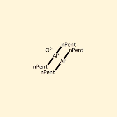 CCCC[CH2][Al+][CH2]CCCC.CCCC[CH2][Al+][CH2]CCCC.[O-2]